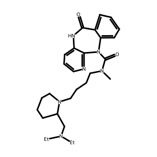 CCN(CC)CC1CCCCN1CCCCN(C)C(=O)N1c2ccccc2C(=O)Nc2cccnc21